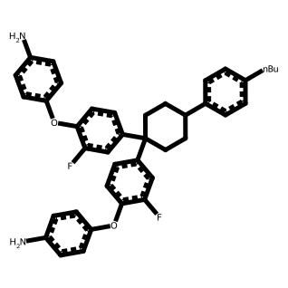 CCCCc1ccc(C2CCC(c3ccc(Oc4ccc(N)cc4)c(F)c3)(c3ccc(Oc4ccc(N)cc4)c(F)c3)CC2)cc1